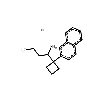 CCCC(N)C1(c2ccc3ccccc3c2)CCC1.Cl